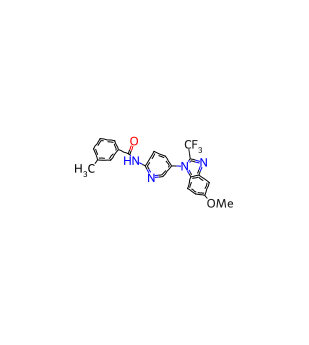 COc1ccc2c(c1)nc(C(F)(F)F)n2-c1ccc(NC(=O)c2cccc(C)c2)nc1